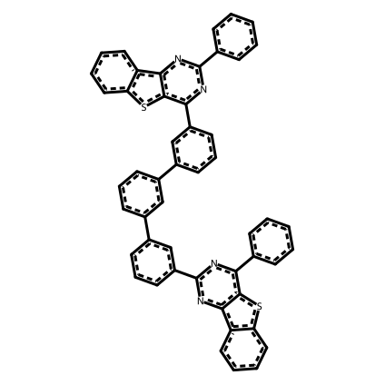 c1ccc(-c2nc(-c3cccc(-c4cccc(-c5cccc(-c6nc(-c7ccccc7)c7sc8ccccc8c7n6)c5)c4)c3)c3sc4ccccc4c3n2)cc1